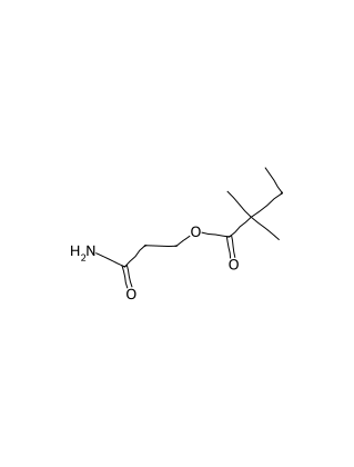 CCC(C)(C)C(=O)OCCC(N)=O